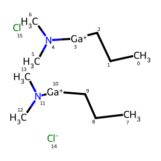 CC[CH2][Ga+][N](C)C.CC[CH2][Ga+][N](C)C.[Cl-].[Cl-]